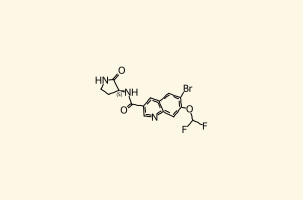 O=C(N[C@H]1CCNC1=O)c1cnc2cc(OC(F)F)c(Br)cc2c1